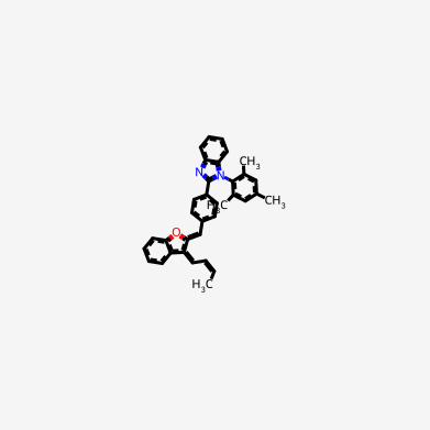 C\C=C/C=c1\c(=C\c2ccc(-c3nc4ccccc4n3-c3c(C)cc(C)cc3C)cc2)oc2ccccc12